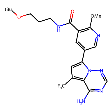 COc1ncc(-c2cc(C(F)(F)F)c3c(N)ncnn23)cc1C(=O)NCCCOC(C)(C)C